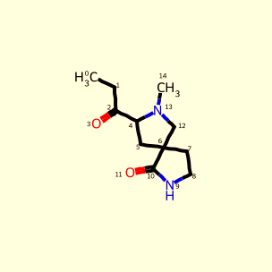 CCC(=O)C1CC2(CCNC2=O)CN1C